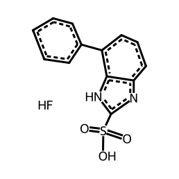 F.O=S(=O)(O)c1nc2cccc(-c3ccccc3)c2[nH]1